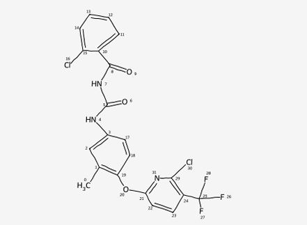 Cc1cc(NC(=O)NC(=O)c2ccccc2Cl)ccc1Oc1ccc(C(F)(F)F)c(Cl)n1